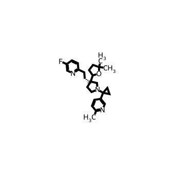 Cc1ccc(C2(N3CC[C@@](CCc4ccc(F)cn4)(C4CCC(C)(C)O4)C3)CC2)cn1